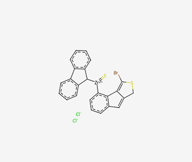 [Cl-].[Cl-].[S]=[Zr+2]([c]1cccc2c1C1=C(Br)SCC1=C2)[CH]1c2ccccc2-c2ccccc21